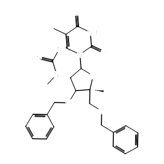 Cc1cn(C2O[C@](C)(COCc3ccccc3)C(OCc3ccccc3)[C@@H]2N(C)C(=N)N)c(=O)[nH]c1=O